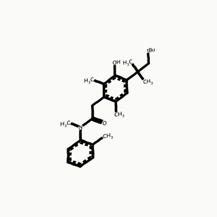 Cc1ccccc1N(C)C(=O)Cc1c(C)cc(C(C)(C)CC(C)(C)C)c(O)c1C